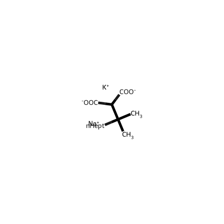 CCCCCCCC(C)(C)C(C(=O)[O-])C(=O)[O-].[K+].[Na+]